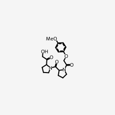 COc1ccc(OCC(=O)N2CCCC2C(=O)N2CCCC2C(=O)CO)cc1